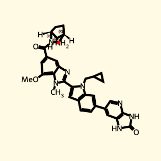 COc1cc(C(=O)N2C[C@H]3CC[C@@H]2[C@@H]3N)cc2nc(-c3cc4ccc(-c5cnc6[nH]c(=O)[nH]c6c5)cc4n3CC3CC3)n(C)c12